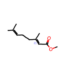 COC(=O)/C=C(\C)CCC=C(C)C